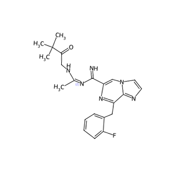 C/C(=N/C(=N)c1cn2ccnc2c(Cc2ccccc2F)n1)NCC(=O)C(C)(C)C